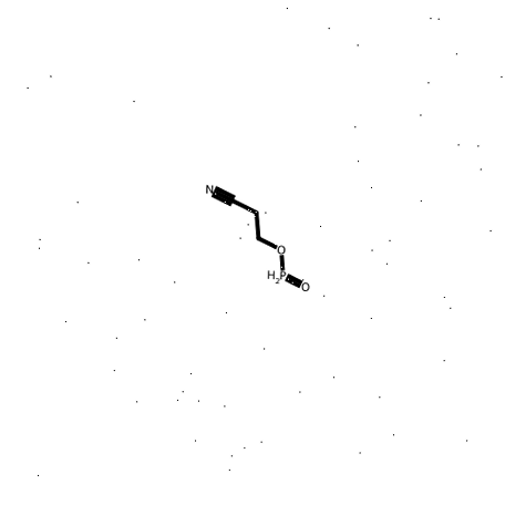 N#CCCO[PH2]=O